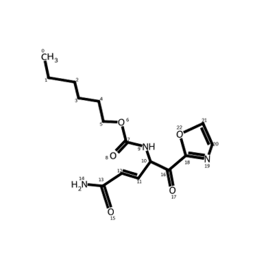 CCCCCCOC(=O)NC(/C=C/C(N)=O)C(=O)c1ncco1